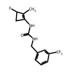 CC1=C(NC(=O)NCc2cccc(C(F)(F)F)c2)CC1F